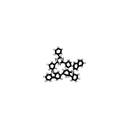 c1ccc(-c2nc(-c3ccccc3)nc(-c3cccc(-n4c5ccccc5c5ccc(-c6ccc7c(c6)c6ccccc6n7-c6ccc7ccccc7c6)cc54)c3)n2)cc1